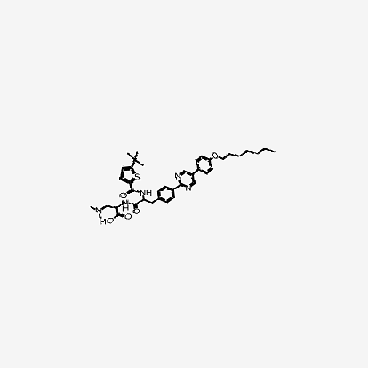 CCCCCCCOc1ccc(-c2cnc(-c3ccc(CC(NC(=O)c4ccc(C(C)(C)C)s4)C(=O)NC(CN(C)C)C(=O)O)cc3)nc2)cc1